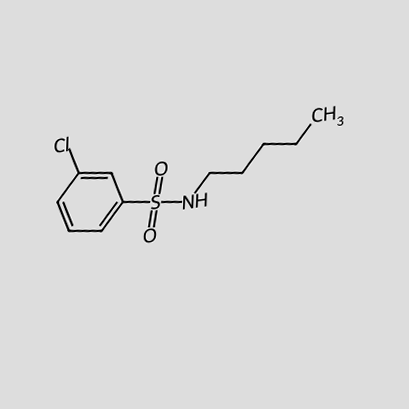 CCCCCNS(=O)(=O)c1cccc(Cl)c1